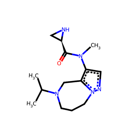 CC(C)N1CCCn2ncc(N(C)C(=O)[C@H]3CN3)c2C1